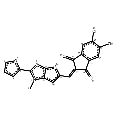 Cn1c(-c2ccco2)nc2sc(C=C3C(=O)c4cc(Cl)c(Cl)cc4C3=O)cc21